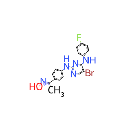 C/C(=N\O)c1ccc(Nc2ncc(Br)c(Nc3ccc(F)cc3)n2)cc1